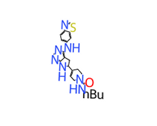 CCCCNC(=O)N1CC=C(C2Cc3c(Nc4ccc5ncsc5c4)ncnc3N2)CC1